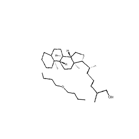 CC(CO)CCC[C@@H](C)[C@H]1CC[C@H]2[C@@H]3CCC4CCCC[C@]4(C)[C@H]3CC[C@]12C.CCCCOCCCC